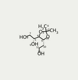 CC1(C)OC([C@H](O)CO)[C@@H](CCO)O1